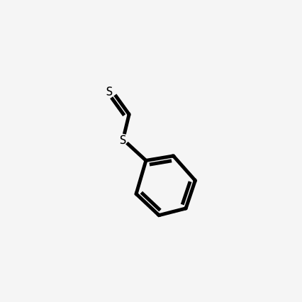 S=CSc1ccccc1